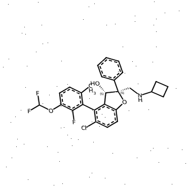 Cc1ccc(OC(F)F)c(F)c1-c1c(Cl)ccc2c1[C@H](O)[C@@](CNC1CCC1)(c1ccccc1)O2